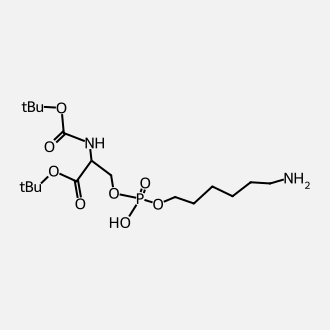 CC(C)(C)OC(=O)NC(COP(=O)(O)OCCCCCCN)C(=O)OC(C)(C)C